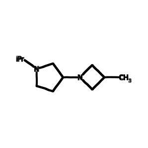 CC1CN(C2CCN(C(C)C)C2)C1